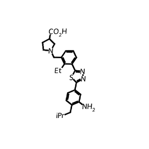 CCc1c(CN2CCC(C(=O)O)C2)cccc1-c1nnc(-c2ccc(CC(C)C)c(N)c2)s1